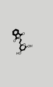 O=C1c2ccccc2C(=O)N1CC[C@@H]1C[C@H](O)C[C@@H](O)O1